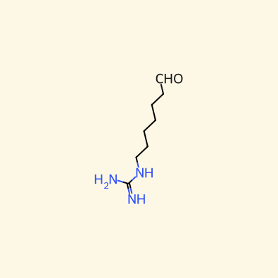 N=C(N)NCCCCCCC=O